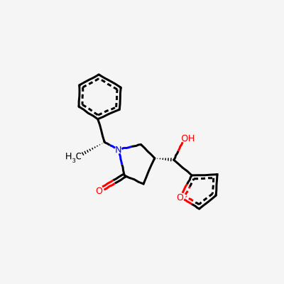 C[C@H](c1ccccc1)N1C[C@H](C(O)c2ccco2)CC1=O